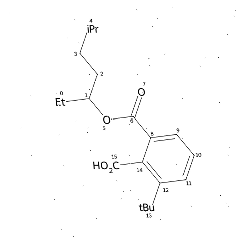 CCC(CCC(C)C)OC(=O)c1cccc(C(C)(C)C)c1C(=O)O